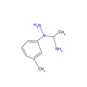 Cc1cccc(N(N)C(C)N)c1